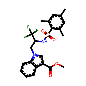 COC(=O)c1cn(CC(NS(=O)(=O)c2c(C)cc(C)cc2C)C(F)(F)F)c2ccccc12